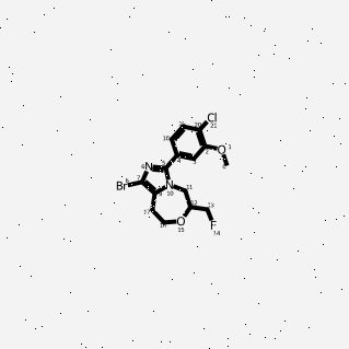 COc1cc(-c2nc(Br)c3n2CC(CF)OCC3)ccc1Cl